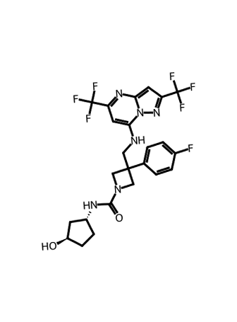 O=C(N[C@@H]1CC[C@@H](O)C1)N1CC(CNc2cc(C(F)(F)F)nc3cc(C(F)(F)F)nn23)(c2ccc(F)cc2)C1